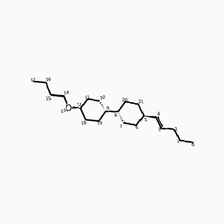 CCCC=C[C@H]1CC[C@H]([C@H]2CC[C@H](OCCCC)CC2)CC1